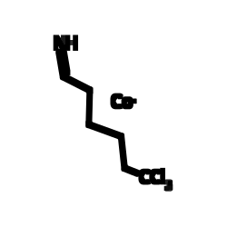 N=CCCCCC(Cl)(Cl)Cl.[Co]